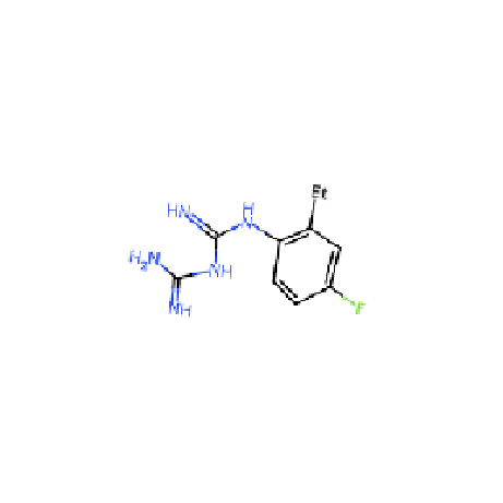 CCc1cc(F)ccc1NC(=N)NC(=N)N